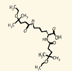 CCOC(C)(C)CCC(=O)NCCCC[C@H](NC(=O)CCC(C)(C)OCC)C(=O)O